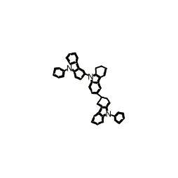 C1=Cc2c(n(-c3ccc4c(c3)c3ccccc3n4-c3ccccc3)c3ccc(C4C=c5c(n(-c6ccccc6)c6ccccc56)=CC4)cc23)CC1